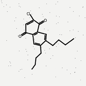 CCCCc1cc2c(cc1CCCC)C(=O)C(Cl)=CC2=O